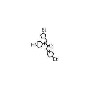 CCC1CCN(CC(=O)N(CC2CCC(CC)C2)C2CCNCC2)CC1